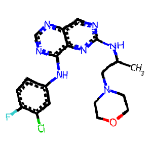 CC(CN1CCOCC1)Nc1ncc2ncnc(Nc3ccc(F)c(Cl)c3)c2n1